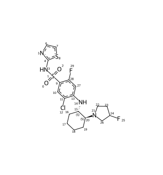 O=S(=O)(Nc1nccs1)c1cc(Cl)c(N[C@H]2CCCC[C@@H]2N2CCC(F)C2)cc1F